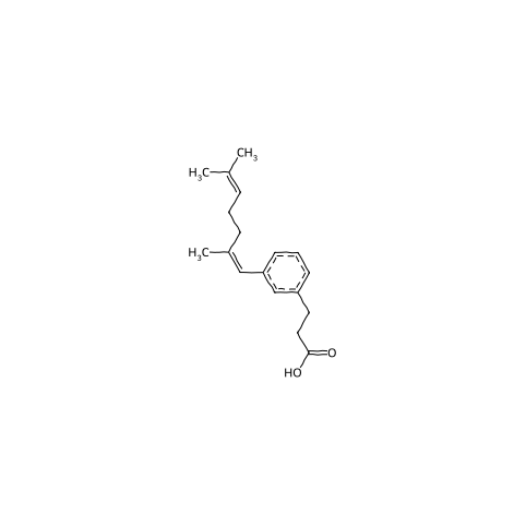 CC(C)=CCCC(C)=Cc1cccc(CCC(=O)O)c1